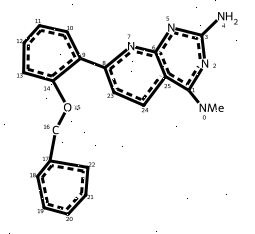 CNc1nc(N)nc2nc(-c3ccccc3OCc3ccccc3)ccc12